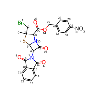 CC1(CBr)SC2C(N3C(=O)c4ccccc4C3=O)C(=O)N2C1C(=O)OCc1ccc([N+](=O)[O-])cc1